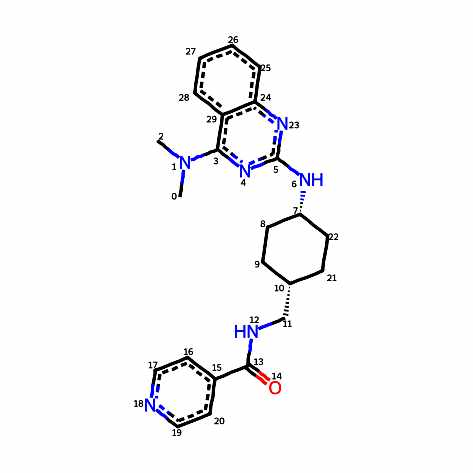 CN(C)c1nc(N[C@H]2CC[C@@H](CNC(=O)c3ccncc3)CC2)nc2ccccc12